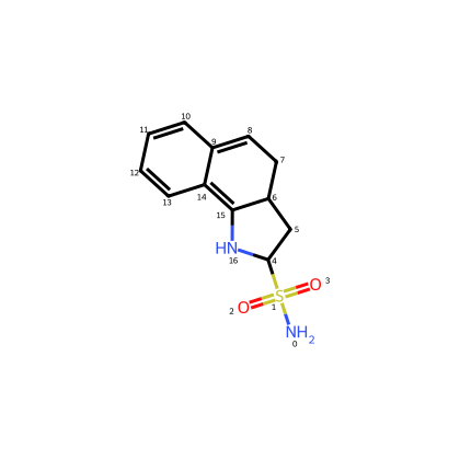 NS(=O)(=O)C1CC2CC=c3ccccc3=C2N1